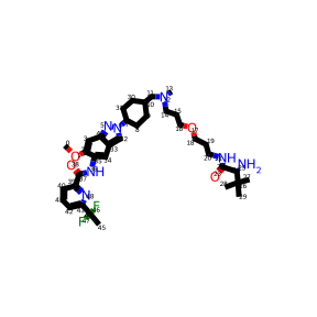 COc1cc2nn(C3CCC(CN(C)CCCOCCCNC(=O)[C@@H](N)C(C)(C)C)CC3)cc2cc1NC(=O)c1cccc(C(C)(F)F)n1